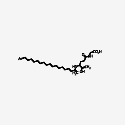 C=C(CCCCCCCCCCCCCCCCC(C)=O)NC(CCC(=O)NCC(=O)O)C(=C)O